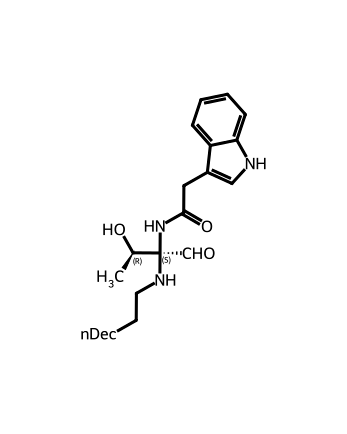 CCCCCCCCCCCCN[C@](C=O)(NC(=O)Cc1c[nH]c2ccccc12)[C@@H](C)O